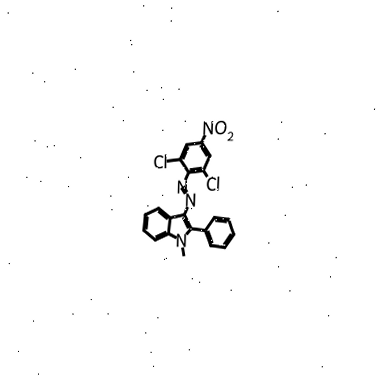 Cn1c(-c2ccccc2)c(N=Nc2c(Cl)cc([N+](=O)[O-])cc2Cl)c2ccccc21